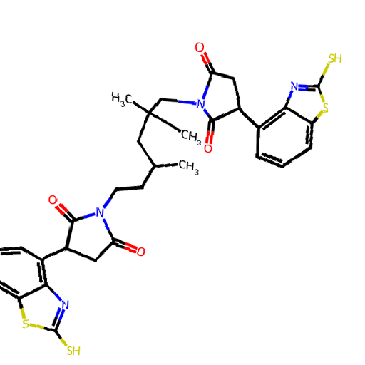 CC(CCN1C(=O)CC(c2cccc3sc(S)nc23)C1=O)CC(C)(C)CN1C(=O)CC(c2cccc3sc(S)nc23)C1=O